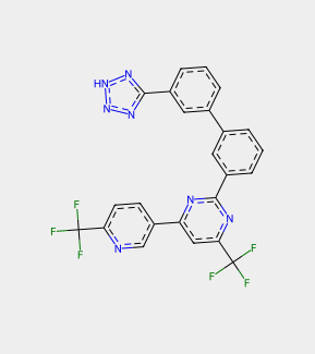 FC(F)(F)c1ccc(-c2cc(C(F)(F)F)nc(-c3cccc(-c4cccc(-c5nn[nH]n5)c4)c3)n2)cn1